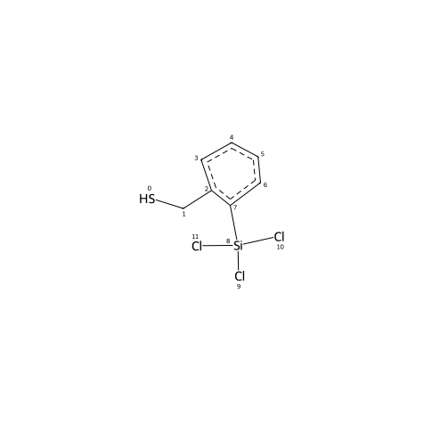 SCc1ccccc1[Si](Cl)(Cl)Cl